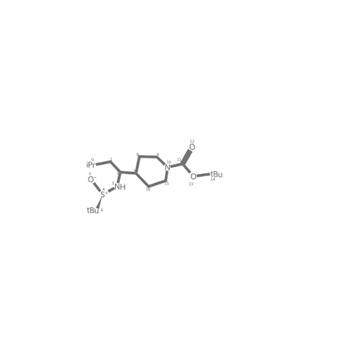 CC(C)CC(N[S@+]([O-])C(C)(C)C)C1CCN(C(=O)OC(C)(C)C)CC1